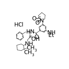 CCNc1cc(C(=O)N[C@@H](Cc2ccccc2)[C@H](O)CNC2CCCCC2(C)C)cc(N2CCCCS2(=O)=O)c1.Cl